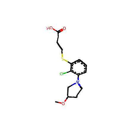 COC1CCN(c2cccc(SCCC(=O)O)c2Cl)C1